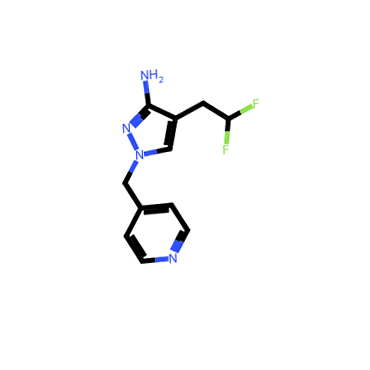 Nc1nn(Cc2ccncc2)cc1CC(F)F